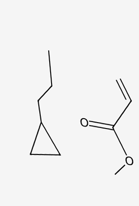 C=CC(=O)OC.CCCC1CC1